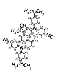 [C-]#[N+]c1ccc(N(c2ccc(C(C)C)cc2)c2cc(C(C)C)c3ccc4c(N(c5ccc(C#N)cc5)c5ccc(C(C)C)cc5)ccc5ccc2c3c54)cc1